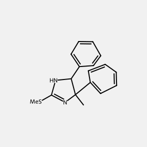 CSC1=NC(C)(c2ccccc2)C(c2ccccc2)N1